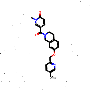 COc1ccc(COc2ccc3c(c2)CN(C(=O)c2ccc(=O)n(C)c2)CC3)nc1